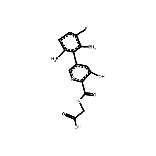 Bc1ccc(F)c(B)c1-c1cnc(C(=O)NCC(=O)O)c(O)c1